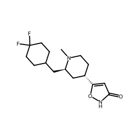 CN1CC[C@H](c2cc(=O)[nH]o2)C[C@H]1CC1CCC(F)(F)CC1